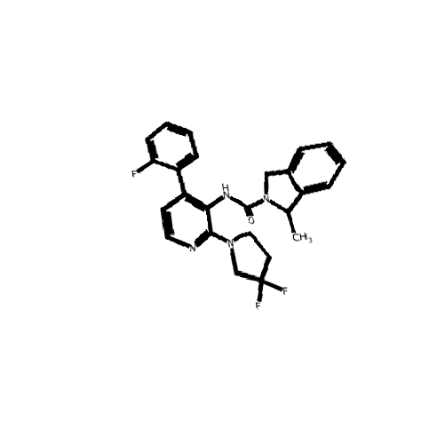 CC1c2ccccc2CN1C(=O)Nc1c(-c2ccccc2F)ccnc1N1CCC(F)(F)C1